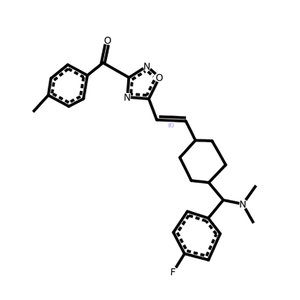 Cc1ccc(C(=O)c2noc(/C=C/C3CCC(C(c4ccc(F)cc4)N(C)C)CC3)n2)cc1